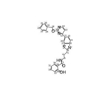 O=C(NCCCc1nc2ccc(-c3ccnc(OCc4ccccc4)n3)cc2s1)c1ccccc1O